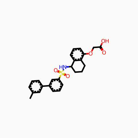 Cc1cccc(-c2cccc(S(=O)(=O)NC3CCCc4c(OCC(=O)O)cccc43)c2)c1